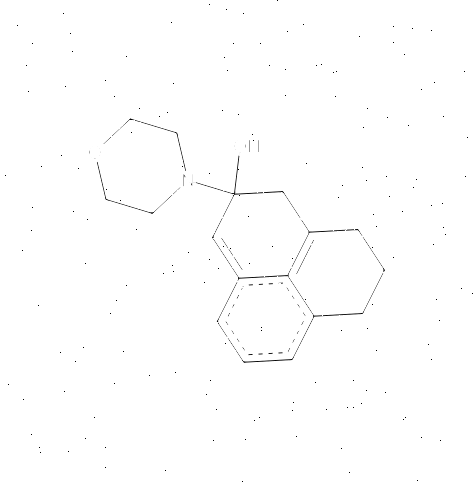 OC1(N2CCOCC2)C=c2cccc3c2=C(CCC3)C1